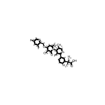 Cc1cnc(-c2cccc(C(C)(C)C(=O)O)c2)c(F)c1-n1c(C)cc(OCc2ncc(F)cc2F)c(Cl)c1=O